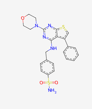 NS(=O)(=O)c1ccc(CNc2nc(N3CCOCC3)nc3scc(-c4ccccc4)c23)cc1